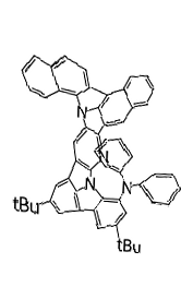 CC(C)(C)c1cc(N(c2ccccc2)c2ccccc2)c2c(c1)c1cc(C(C)(C)C)cc3c4cc5c(nc4n2c31)c1cc2ccccc2c2c3ccc4ccccc4c3n5c12